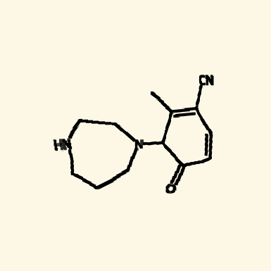 CC1=C(C#N)C=CC(=O)C1N1CCCNCC1